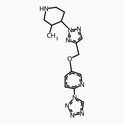 CC1CNCCC1n1ncc(COc2ccc(-n3cnnn3)nc2)n1